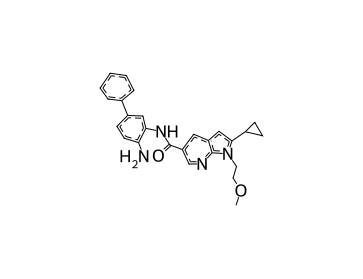 COCCn1c(C2CC2)cc2cc(C(=O)Nc3cc(-c4ccccc4)ccc3N)cnc21